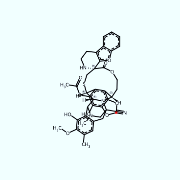 COc1c(C)cc2c(c1O)C1[C@@H]3[C@@H]4SC[C@]5(NCCc6c5oc5ccccc65)C(=O)OCC[C@@H](c5c6c(c(C)c(OC(C)=O)c54)OCO6)N3C(C#N)(C2)CN1C